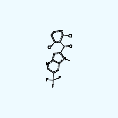 Cn1c(C(=O)c2c(Cl)[c]ccc2Cl)cc2ncc(C(F)(F)F)cc21